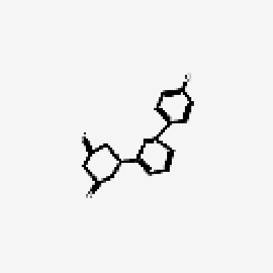 O=C1CC(=O)CC(c2cccc(-c3ccc(Cl)cc3)c2)C1